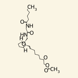 CCCCCC(=O)NCC(=O)NC[C@H]1[C@@H](C=CCCCCC(=O)COC(C)=O)[C@H]2CC[C@@H]1O2